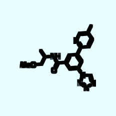 COCC(C)NC(=O)c1cc(-c2ccc(C)cn2)cc(-n2cnnn2)c1